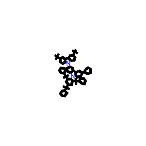 CC(C)(C)c1ccc2c(c1)c1cc(C(C)(C)C)ccc1n2-c1ccc2c(c1)c1cc(-c3ccccc3)ccc1n2-c1c(C(C)(C)c2ccccc2)cc(C(C)(C)c2ccccc2)cc1C(C)(C)c1ccccc1